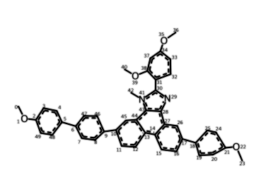 COc1ccc(-c2ccc(-c3ccc4c5ccc(-c6ccc(OC)cc6)cc5c5nc(-c6ccc(OC)cc6OC)n(C)c5c4c3)cc2)cc1